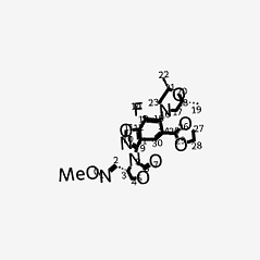 CO/N=C/[C@H]1COC(=O)N1c1noc2c(F)c(N3C[C@@H](C)O[C@H](C)C3)c(C3OCCO3)cc12